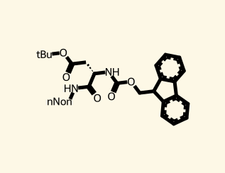 CCCCCCCCCNC(=O)[C@H](CC(=O)OC(C)(C)C)NC(=O)OCC1c2ccccc2-c2ccccc21